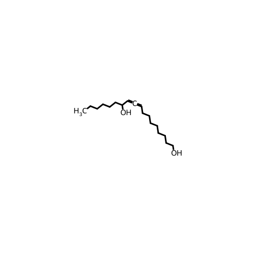 CCCCCCC(O)C=C=CCCCCCCCCO